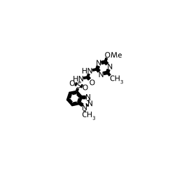 COc1nc(C)nc(NC(=O)NS(=O)(=O)c2cccc3c2nnn3C)n1